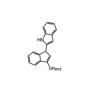 CCCCCC1=CC(c2cc3ccccc3[nH]2)c2ccccc21